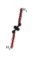 COCCOCCOCCOCCOCCOCc1cccc(C#Cc2c3ccccc3c(C#Cc3cccc(COCCOCCOCCOCCOCCOC)c3)c3ccccc23)c1